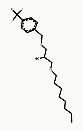 CCCCCCCCOCC(O)CSCc1ccc(C(F)(F)F)cc1